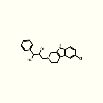 OC(CN1CCc2c([nH]c3ccc(Cl)cc23)C1)C(O)c1ccccc1